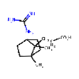 CC(=O)O.CC12CCC(CC1)C2(C)C.N=C(N)N